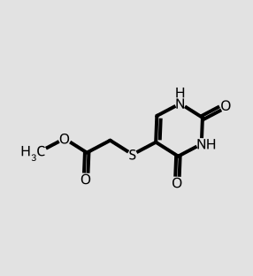 COC(=O)CSc1c[nH]c(=O)[nH]c1=O